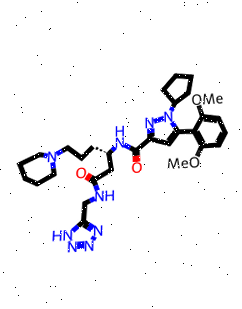 COc1cccc(OC)c1-c1cc(C(=O)N[C@@H](CCCN2CCCCC2)CC(=O)NCc2nnn[nH]2)nn1C1CCCC1